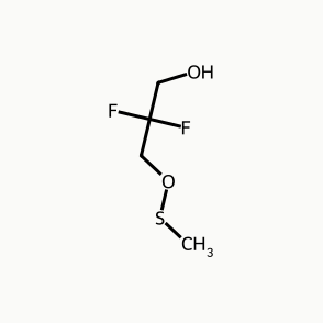 CSOCC(F)(F)CO